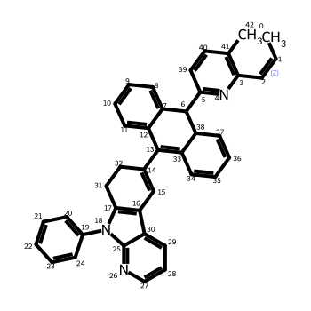 C/C=C\c1nc(C2c3ccccc3C(C3=Cc4c(n(-c5ccccc5)c5ncccc45)CC3)=C3C=CC=CC32)ccc1C